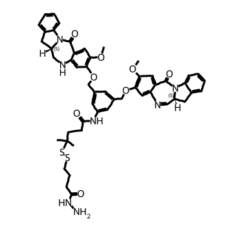 COc1cc2c(cc1OCc1cc(COc3cc4c(cc3OC)C(=O)N3c5ccccc5C[C@H]3CN4)cc(NC(=O)CCC(C)(C)SSCCCC(=O)NN)c1)N=C[C@@H]1Cc3ccccc3N1C2=O